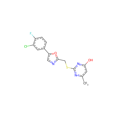 Oc1cc(C(F)(F)F)nc(SCc2ncc(-c3ccc(F)c(Cl)c3)o2)n1